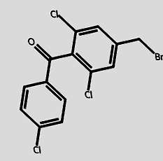 O=C(c1ccc(Cl)cc1)c1c(Cl)cc(CBr)cc1Cl